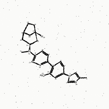 Cc1cn(-c2ccc(-c3ccc(N(C)[C@H]4CC5CC[C@@H](C5)C4)nn3)c(O)c2)cn1